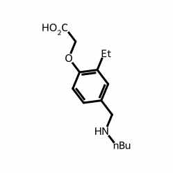 CCCCNCc1ccc(OCC(=O)O)c(CC)c1